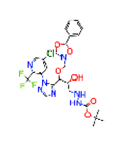 CC(C)(C)OC(=O)NNC[C@H](O)C(OCN1COC(c2ccccc2)O1)c1ncnn1-c1cc(Cl)cnc1C(F)(F)F